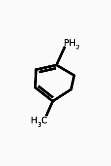 CC1=CC=C(P)CC1